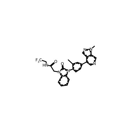 Cc1cc(-c2cncc3c2cnn3C)ccc1-n1c(=O)n(CC(=O)NCC(F)(F)F)c2ccccc21